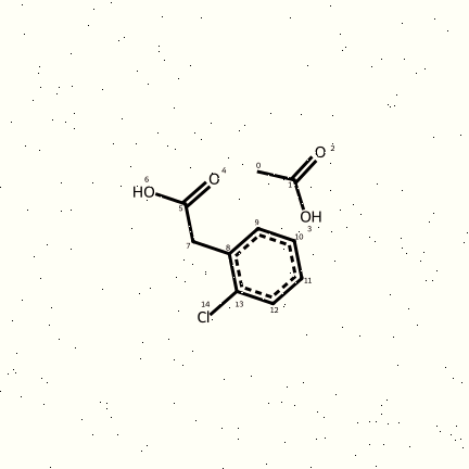 CC(=O)O.O=C(O)Cc1ccccc1Cl